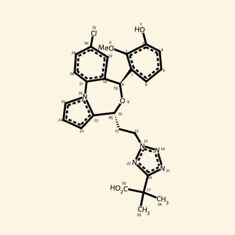 COc1c(O)cccc1[C@H]1O[C@H](CCn2nnc(C(C)(C)C(=O)O)n2)c2cccn2-c2ccc(Cl)cc21